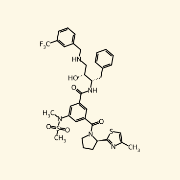 Cc1csc([C@H]2CCCN2C(=O)c2cc(C(=O)N[C@@H](Cc3ccccc3)[C@H](O)CNCc3cccc(C(F)(F)F)c3)cc(N(C)S(C)(=O)=O)c2)n1